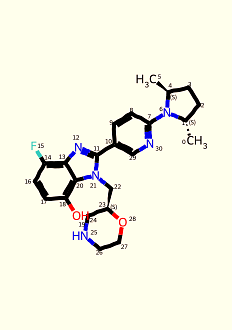 C[C@H]1CC[C@H](C)N1c1ccc(-c2nc3c(F)ccc(O)c3n2C[C@@H]2CNCCO2)cn1